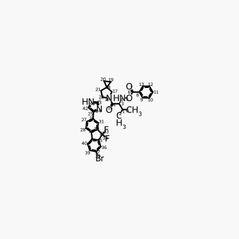 CC(C)[C@H](NOC(=O)c1ccccc1)C(=O)N1CC2(CC2)C[C@H]1c1nc(-c2ccc3c(c2)C(F)(F)c2cc(Br)ccc2-3)c[nH]1